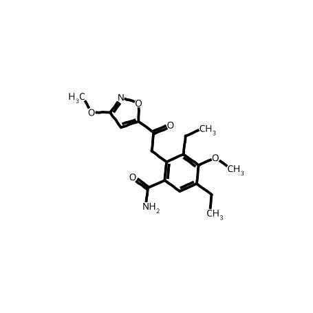 CCc1cc(C(N)=O)c(CC(=O)c2cc(OC)no2)c(CC)c1OC